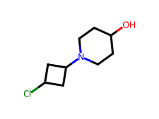 OC1CCN(C2CC(Cl)C2)CC1